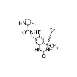 Cc1cc[nH]c1C(=O)NCc1cc2c(cc1F)[C@@](C#CC1CC1)(C(F)(F)F)NC(=O)N2